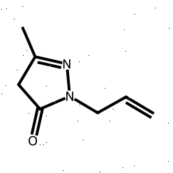 C=CCN1N=C(C)CC1=O